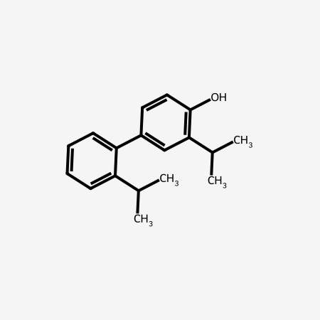 CC(C)c1cc(-c2ccccc2C(C)C)ccc1O